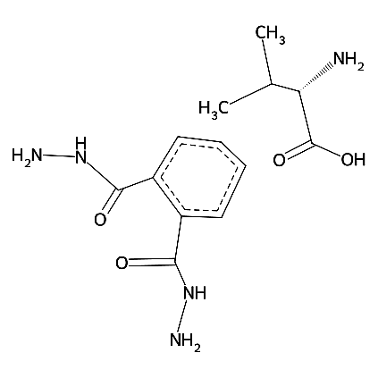 CC(C)[C@H](N)C(=O)O.NNC(=O)c1ccccc1C(=O)NN